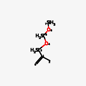 C=C(C)[SiH2]O[SiH2]O[SiH3]